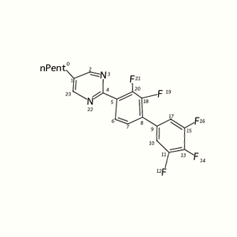 CCCCCc1cnc(-c2ccc(-c3cc(F)c(F)c(F)c3)c(F)c2F)nc1